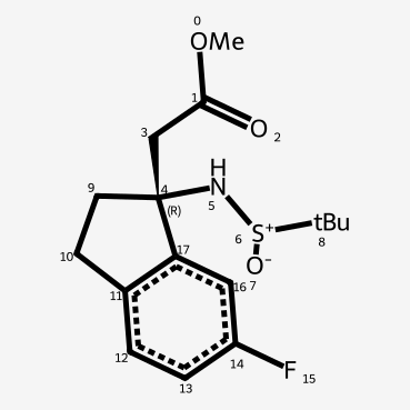 COC(=O)C[C@]1(N[S+]([O-])C(C)(C)C)CCc2ccc(F)cc21